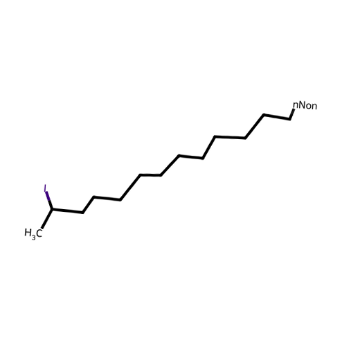 CCCCCCCCCCCCCCCCCCCCC(C)I